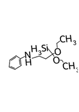 CCOC([SiH3])(CCCNc1ccccc1)OCC